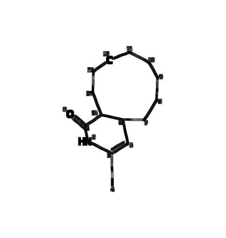 O=C1NC(I)=CC2CCCCCCCCC12